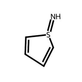 N=S1C=CC=C1